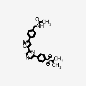 CC(=O)NCc1ccc(-c2cc(-c3[c]ncc(-c4ccc(S(=O)(=O)C(C)C)cc4)n3)on2)cc1